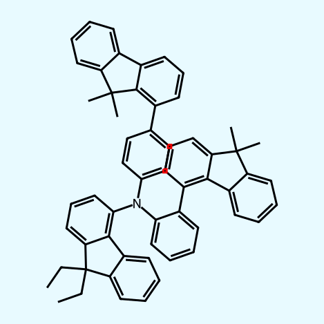 CCC1(CC)c2ccccc2-c2c(N(c3ccc(-c4cccc5c4C(C)(C)c4ccccc4-5)cc3)c3ccccc3-c3cccc4c3-c3ccccc3C4(C)C)cccc21